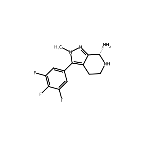 Cn1nc2c(c1-c1cc(F)c(F)c(F)c1)CCN[C@H]2N